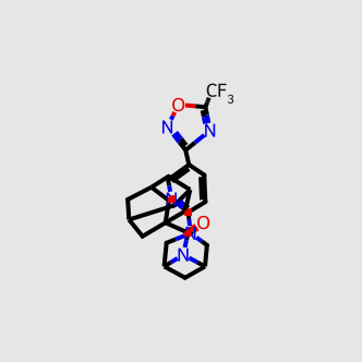 O=C(N1C2CC1CN(c1ccc(-c3noc(C(F)(F)F)n3)cn1)C2)C12CC3CC(CC(C3)C1)C2